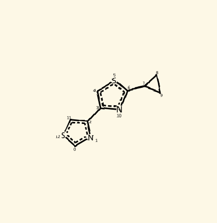 c1nc(-c2csc(C3CC3)n2)cs1